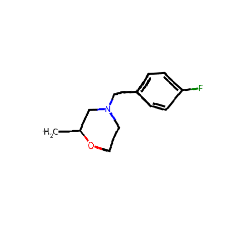 [CH2]C1CN(Cc2ccc(F)cc2)CCO1